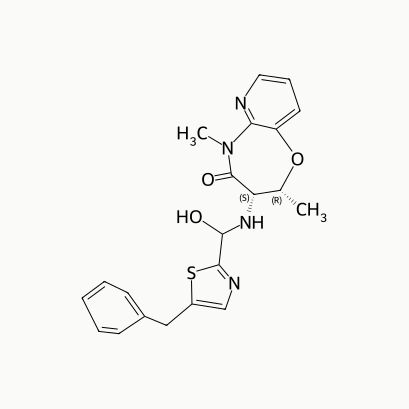 C[C@H]1Oc2cccnc2N(C)C(=O)[C@H]1NC(O)c1ncc(Cc2ccccc2)s1